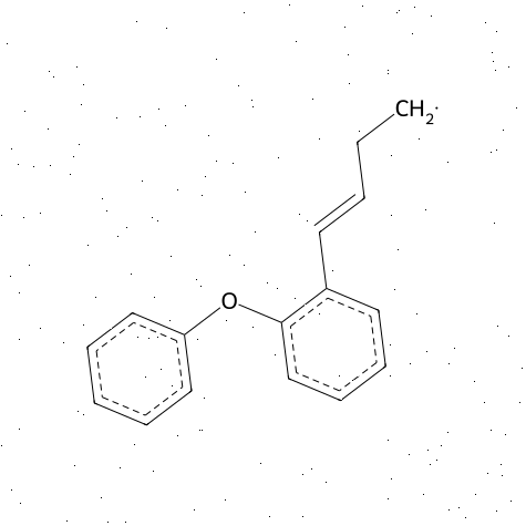 [CH2]CC=Cc1ccccc1Oc1ccccc1